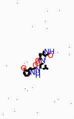 C#CC(=O)N(CC(=O)[C@H](CC(C)C)NC(=O)c1cc2c(OC)cccc2[nH]1)C[C@@H]1CCNC1=O